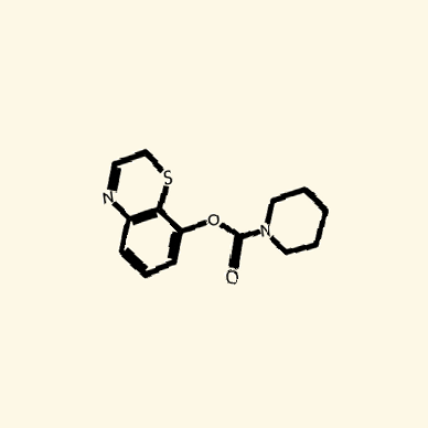 O=C(Oc1cccc2c1SCC=N2)N1CCCCC1